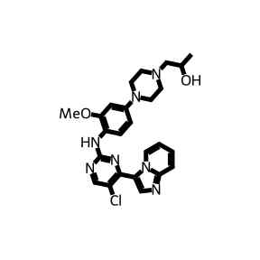 COc1cc(N2CCN(CC(C)O)CC2)ccc1Nc1ncc(Cl)c(-c2cnc3ccccn23)n1